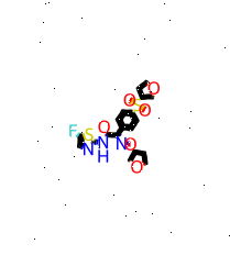 O=C(Nc1ncc(F)s1)/C(=N/O[C@@H]1CCOC1)c1ccc(S(=O)(=O)[C@@H]2CCOC2)cc1